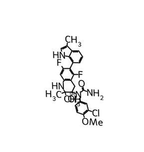 COc1ccc(N(C(N)=O)[C@]2(O)Cc3c(cc(F)c(-c4cccc5c(C)c[nH]c45)c3F)NC2(C)C)cc1Cl